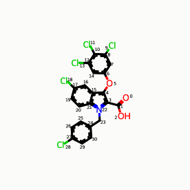 O=C(O)c1c(Oc2cc(Cl)c(Cl)c(Cl)c2)c2cc(Cl)ccc2n1Cc1ccc(Cl)cc1